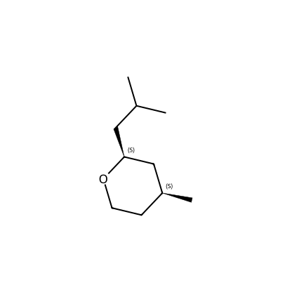 CC(C)C[C@H]1C[C@@H](C)CCO1